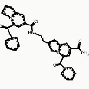 NC(=O)c1cc(C(=O)c2ccccc2)n2cc(CCNC(=O)c3cc(C(=O)c4ccccc4)n4cccc4c3)cc2c1